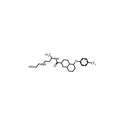 CC(CCNCCO)NC(=O)C1CCC2C(CCCC2Oc2ccc(C(F)(F)F)cc2)C1